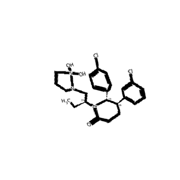 CC[C@@H](CN1CCCS1(O)O)N1C(=O)CC[C@H](c2cccc(Cl)c2)[C@H]1c1ccc(Cl)cc1